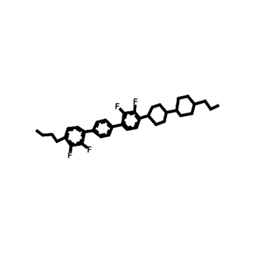 CCCCc1ccc(-c2ccc(-c3ccc(C4CCC(C5CCC(CCC)CC5)CC4)c(F)c3F)cc2)c(F)c1F